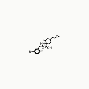 COCCC1CCC(NC(=O)Cc2cc(Br)ccc2C)(C(=O)O)C(C)C1